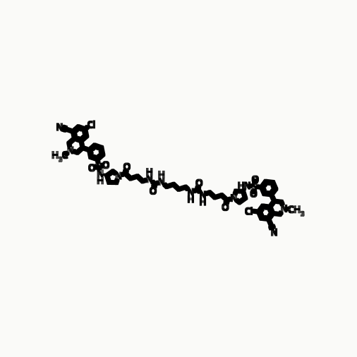 CN1Cc2c(C#N)cc(Cl)cc2C(c2cccc(S(=O)(=O)N[C@H]3CCN(C(=O)CCCNC(=O)NCCCCNC(=O)NCCCC(=O)N4CC[C@H](NS(=O)(=O)c5cccc(C6CN(C)Cc7c(C#N)cc(Cl)cc76)c5)C4)C3)c2)C1